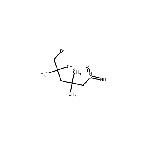 CC(C)(CBr)CC(C)(C)C[SH](=N)=O